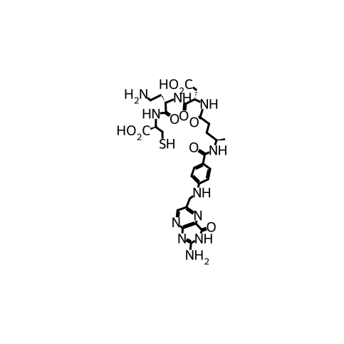 C[C@H](CCC(=O)N[C@@H](CC(=O)O)C(=O)N[C@@H](CCN)C(=O)N[C@@H](CS)C(=O)O)NC(=O)c1ccc(NCc2cnc3nc(N)[nH]c(=O)c3n2)cc1